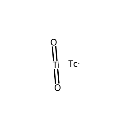 [O]=[Ti]=[O].[Tc]